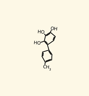 Cc1ccc(-c2ccc(O)c(O)c2O)cc1